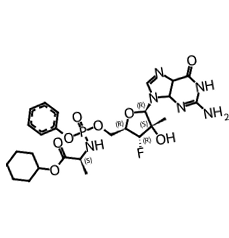 C[C@H](NP(=O)(OC[C@H]1O[C@@H](N2C=NC3C(=O)NC(N)=NC32)[C@](C)(O)[C@@H]1F)Oc1ccccc1)C(=O)OC1CCCCC1